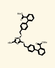 CCCCc1nc(SCc2ccc(-c3ccccc3C(=O)OC)cc2)n(SCc2ccc(-c3ccccc3C(=O)OC)cc2)n1